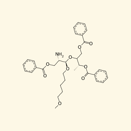 COCCCCCO[C@H](OC(COC(=O)c1ccccc1)[C@@H](C)OC(=O)c1ccccc1)[C@@H](N)COC(=O)c1ccccc1